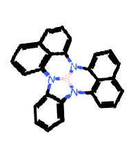 c1ccc2c(c1)N1B3N2c2cccc4cccc(c24)N3c2cccc3cccc1c23